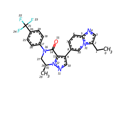 CCc1cnc2ccc(-c3cnn4c3C(=O)N(c3ccc(C(F)(F)F)cc3)C[C@@H]4C)cn12